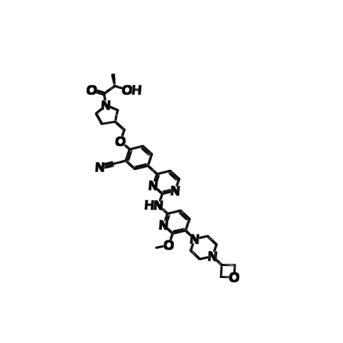 COc1nc(Nc2nccc(-c3ccc(OCC4CCN(C(=O)[C@@H](C)O)C4)c(C#N)c3)n2)ccc1N1CCN(C2COC2)CC1